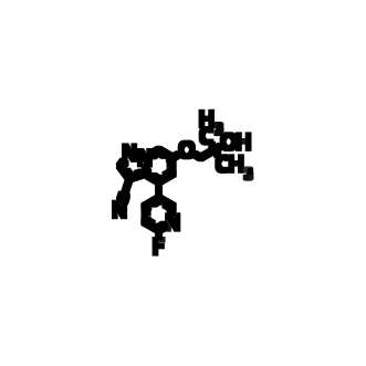 CC(C)(O)COc1cc(-c2ccc(F)nc2)c2c(C#N)cnn2c1